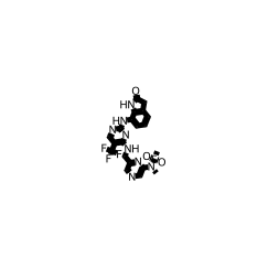 CN(c1cncc(CNc2nc(Nc3cccc4c3NC(=O)C4)ncc2C(F)(F)F)n1)S(C)(=O)=O